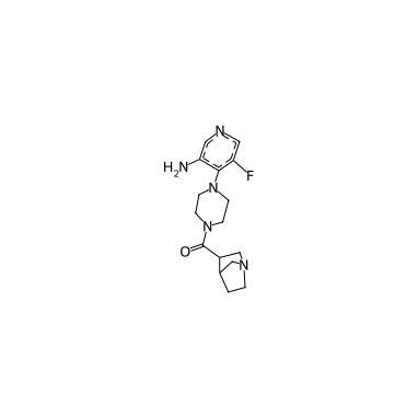 Nc1cncc(F)c1N1CCN(C(=O)C2CN3CCC2C3)CC1